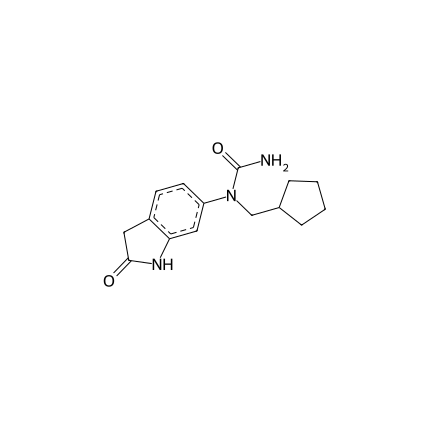 NC(=O)N(CC1CCCC1)c1ccc2c(c1)NC(=O)C2